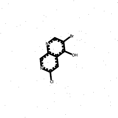 Oc1c(Br)cnc2cnc(Cl)cc12